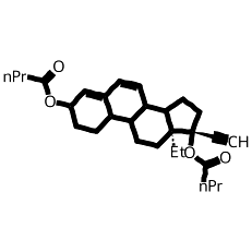 C#C[C@]1(OC(=O)CCC)CCC2C3C=CC4=CC(OC(=O)CCC)CCC4C3CC[C@@]21CC